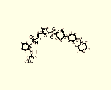 CC(C)(C)OC(=O)Nc1ccccc1NC(=O)C=Cc1ccn(S(=O)(=O)c2ccc(-c3ccc(CN4CCOCC4)cc3)cc2)c1